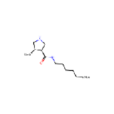 CCCCCCCCCCCCCCNC(=O)[C@@H]1CNC[C@@H]1OC